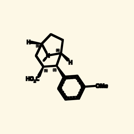 COc1cccc([C@H]2[C@@H](C(=O)O)C[C@@H]3CC[C@H]2N3C)c1